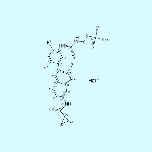 Cc1cc(F)c(NC(=O)NCCC(F)(F)F)cc1-c1cc2cnc(NC(=O)C3CC3)cc2nc1C.Cl